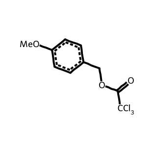 COc1ccc(COC(=O)C(Cl)(Cl)Cl)cc1